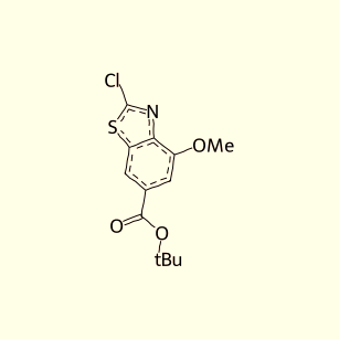 COc1cc(C(=O)OC(C)(C)C)cc2sc(Cl)nc12